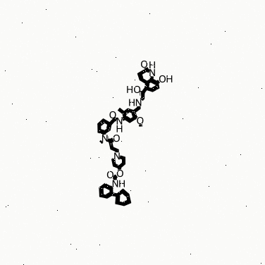 COc1cc(NC(=O)c2cccc(N(C)C(=O)CCN3CCC(OC(=O)Nc4ccccc4-c4ccccc4)CC3)c2)c(C)cc1CNC[C@H](O)c1ccc(O)c2[nH]c(=O)ccc12